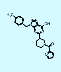 Cc1ccc(Cn2nnc3c(O)nc(C4CCCN(C(=O)c5ccco5)C4)nc32)cc1